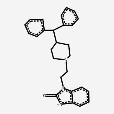 O=c1[nH]c2ccccc2n1CCN1CCC(C(c2ccccc2)c2ccccc2)CC1